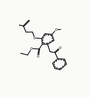 C=C(C)CCOc1cc(OC)cc(CC(=O)c2ccccc2)c1C(=O)OCC